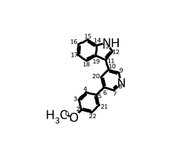 COc1ccc(-c2cncc(-c3c[nH]c4ccccc34)c2)cc1